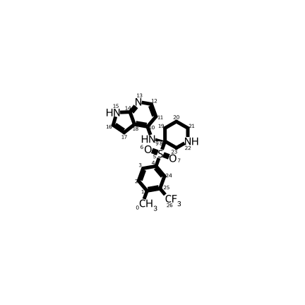 Cc1ccc(S(=O)(=O)[C@]2(Nc3ccnc4[nH]ccc34)CCCNC2)cc1C(F)(F)F